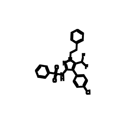 O=S(=O)(Nc1nn(CCc2ccccc2)c(C(F)F)c1-c1ccc(Cl)cc1)c1ccccc1